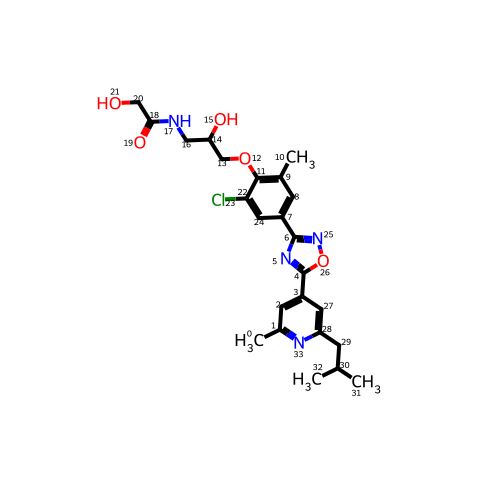 Cc1cc(-c2nc(-c3cc(C)c(OCC(O)CNC(=O)CO)c(Cl)c3)no2)cc(CC(C)C)n1